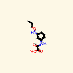 CCCONc1cccc(NC(=O)C(=O)O)c1